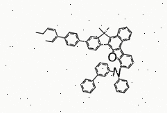 C/C=C(\C=C/CC)c1ccc(-c2ccc3c(c2)C(C)(C)c2c-3c3oc4c(N(c5ccccc5)c5cccc(-c6ccccc6)c5)cccc4c3c3ccccc23)cc1